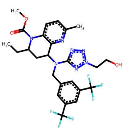 CCC1CC(N(Cc2cc(C(F)(F)F)cc(C(F)(F)F)c2)c2nnn(CCO)n2)c2nc(C)ccc2N1C(=O)OC